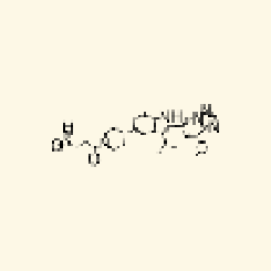 COc1cc(-c2[nH]c3ccc(C4CCN(C(=O)CC[SH](=O)=O)CC4)cc3c2C(C)C)cn2ncnc12